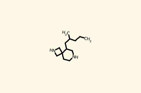 CCCC(C)CC1CNCCC12CNC2